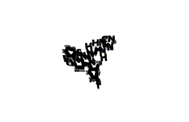 C/N=C(\NC#N)NCCNc1nc(-c2ccc(F)cc2C)c2ccc(=O)n(-c3c(F)cccc3F)c2n1